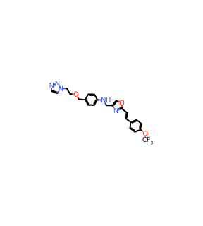 FC(F)(F)Oc1ccc(C=Cc2nc(CNc3ccc(COCCn4ccnn4)cc3)co2)cc1